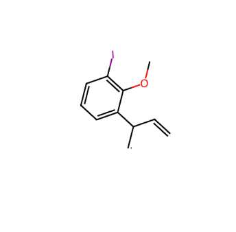 [CH2]C(C=C)c1cccc(I)c1OC